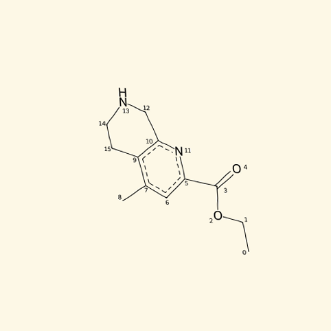 CCOC(=O)c1cc(C)c2c(n1)CNCC2